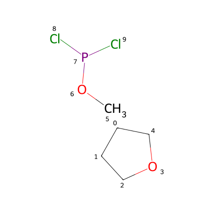 C1CCOC1.COP(Cl)Cl